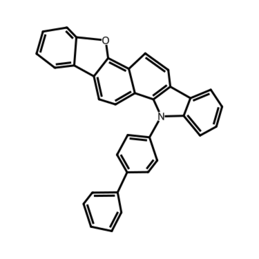 c1ccc(-c2ccc(-n3c4ccccc4c4ccc5c(ccc6c7ccccc7oc65)c43)cc2)cc1